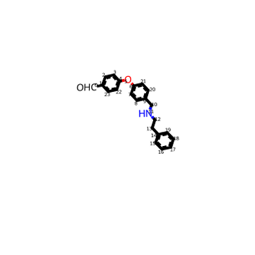 O=Cc1ccc(Oc2ccc(CNCCc3ccccc3)cc2)cc1